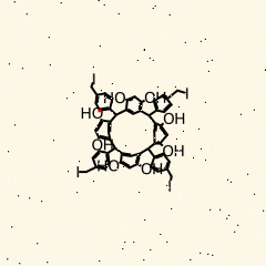 Oc1cc(O)c2cc1C(c1ccc(CI)cc1)c1cc(c(O)cc1O)C(c1ccc(CI)cc1)c1cc(c(O)cc1O)C(c1ccc(CI)cc1)c1cc(c(O)cc1O)C2c1ccc(CI)cc1